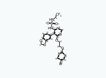 O=S(=O)(NCC(F)(F)F)Nc1ncnc(OCCOc2ncc(Br)cn2)c1-c1ccc2c(c1)OCO2